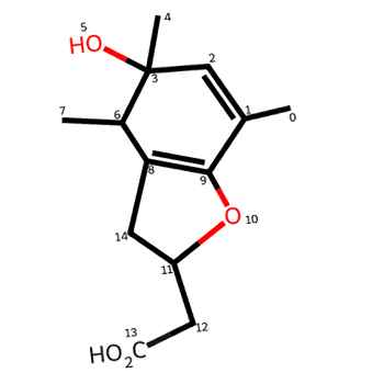 CC1=CC(C)(O)C(C)C2=C1OC(CC(=O)O)C2